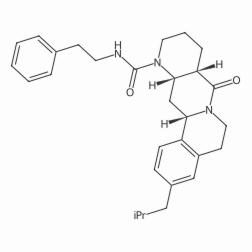 CC(C)Cc1ccc2c(c1)CCN1C(=O)[C@H]3CCCN(C(=O)NCCc4ccccc4)[C@H]3C[C@@H]21